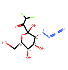 [N-]=[N+]=NN[C@@H]1[C@@H](O)[C@@H](O)[C@@H](CO)OC1(O)C(=O)C(F)F